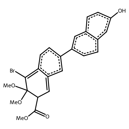 COC(=O)C1C=c2cc(-c3ccc4cc(O)ccc4c3)ccc2=C(Br)C1(OC)OC